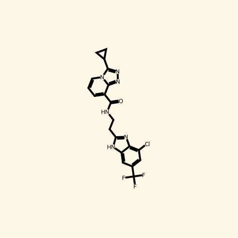 O=C(NCCc1nc2c(Cl)cc(C(F)(F)F)cc2[nH]1)c1cccn2c(C3CC3)nnc12